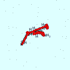 CC(C)[C@H](NC(=O)[C@@H](CCCCNC(=O)COC1CCCCCc2c1nnn2CCOCCOCCOCCOCCC(=O)NCC[N+](C)(C)C)NC(=O)CCOCCOCCOCCOCCNC(=O)CCC(=O)N1Cc2ccccc2/C=C\c2ccccc21)C(=O)N[C@@H](C)C(=O)Nc1ccc2c(c1)[C@@]1(C)CCC[C@](C)(C(=O)NC(=O)[C@@]3(C)CCC[C@]4(C)c5cc(N)ccc5CC[C@@H]34)[C@@H]1CC2